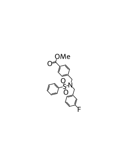 COC(=O)c1ccc(CN(Cc2cccc(F)c2)S(=O)(=O)c2ccccc2)cc1